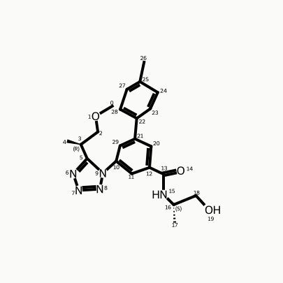 COC[C@H](C)c1nnnn1-c1cc(C(=O)N[C@@H](C)CO)cc(-c2ccc(C)cc2)c1